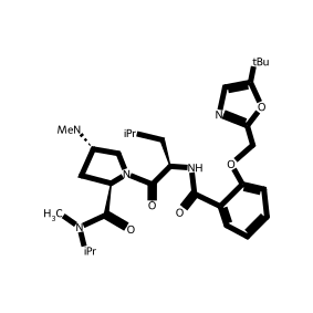 CN[C@H]1C[C@H](C(=O)N(C)C(C)C)N(C(=O)[C@@H](CC(C)C)NC(=O)c2ccccc2OCc2ncc(C(C)(C)C)o2)C1